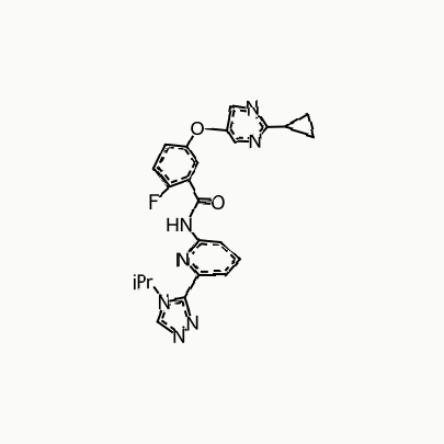 CC(C)n1cnnc1-c1cccc(NC(=O)c2cc(Oc3cnc(C4CC4)nc3)ccc2F)n1